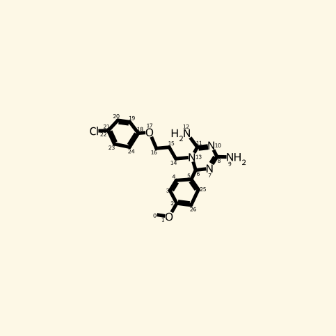 COc1ccc(C2N=C(N)N=C(N)N2CCCOc2ccc(Cl)cc2)cc1